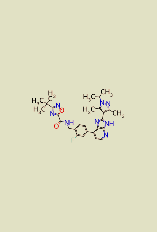 Cc1nn(C(C)C)c(C)c1-c1nc2c(-c3ccc(CNC(=O)c4nc(C(C)(C)C)no4)c(F)c3)ccnc2[nH]1